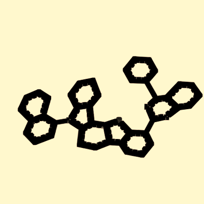 c1ccc(-c2nc(-c3cccc4c3oc3c4ccc4c3c3ccccc3n4-c3cccc4ccccc34)nc3ccccc23)cc1